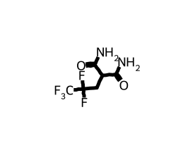 NC(=O)C(CC(F)(F)C(F)(F)F)C(N)=O